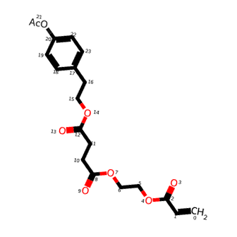 C=CC(=O)OCCOC(=O)CCC(=O)OCCc1ccc(OC(C)=O)cc1